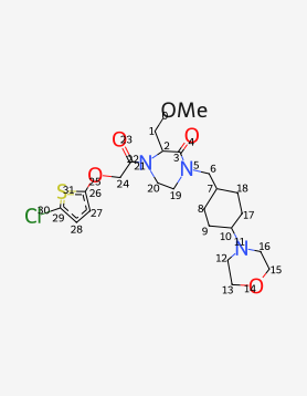 COCC1C(=O)N(CC2CCC(N3CCOCC3)CC2)CCN1C(=O)COc1ccc(Cl)s1